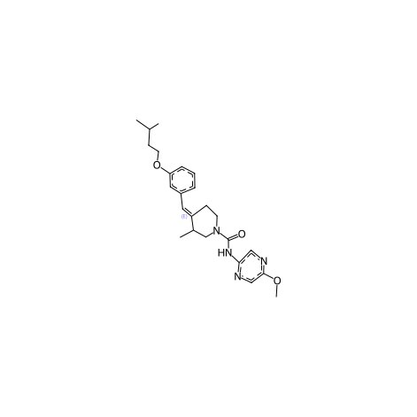 COc1cnc(NC(=O)N2CC/C(=C\c3cccc(OCCC(C)C)c3)C(C)C2)cn1